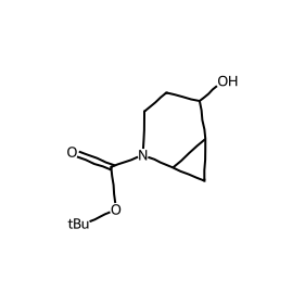 CC(C)(C)OC(=O)N1CCC(O)C2CC21